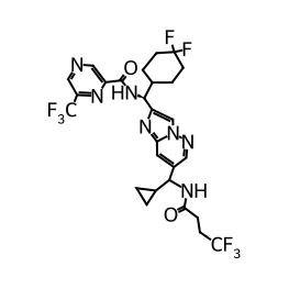 O=C(CCC(F)(F)F)NC(c1cnn2cc([C@@H](NC(=O)c3cncc(C(F)(F)F)n3)C3CCC(F)(F)CC3)nc2c1)C1CC1